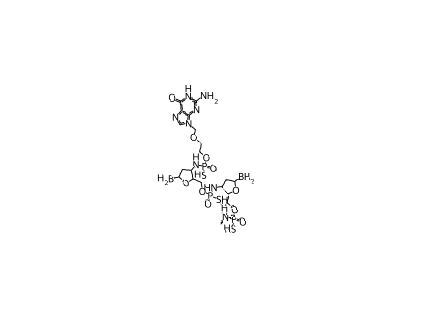 BC1CC(NP(=O)(S)OCC2OC(B)CC2NP(=O)(S)OCCOCn2cnc3c(=O)[nH]c(N)nc32)C(COP(=O)(S)NC)O1